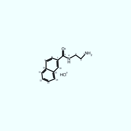 Cl.NCCNC(=O)c1ccc2ccccc2c1